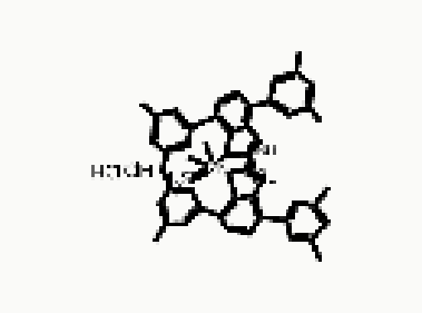 CCC(C)C1=Cc2c(-c3cc(C)cc(C)c3)ccc(-c3cc(C)cc(C)c3)c2[CH]1[Zr]([CH3])([CH3])(=[SiH2])[CH]1C(C(C)CC)=Cc2c(-c3cc(C)cc(C)c3)ccc(-c3cc(C)cc(C)c3)c21.Cl.Cl